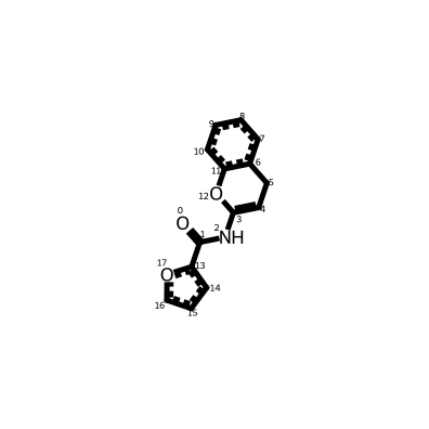 O=C(NC1=CCc2ccccc2O1)c1ccco1